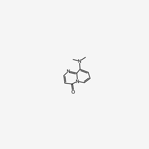 CN(C)c1cccn2c(=O)ccnc12